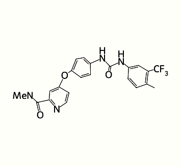 CNC(=O)c1cc(Oc2ccc(NC(=O)Nc3ccc(C)c(C(F)(F)F)c3)cc2)ccn1